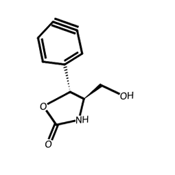 O=C1N[C@H](CO)[C@@H](c2cc#ccc2)O1